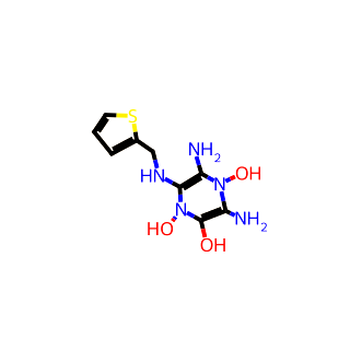 NC1=C(O)N(O)C(NCc2cccs2)=C(N)N1O